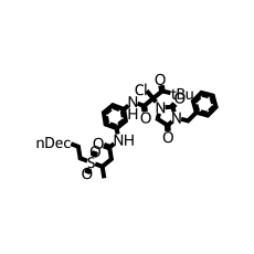 CCCCCCCCCCCCS(=O)(=O)C(C)CC(=O)Nc1cccc(NC(=O)C(Cl)(C(=O)C(C)(C)C)N2CC(=O)N(Cc3ccccc3)C2=O)c1